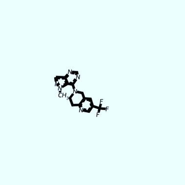 Cn1ncc2ncnc(N3CCc4ncc(C(F)(F)F)cc4C3)c21